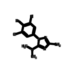 CN(C)c1nc(N)nn1-c1cc(Cl)c(Br)c(Cl)c1